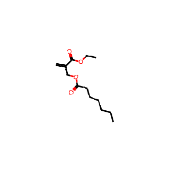 C=C(COC(=O)CCCCCC)C(=O)OCC